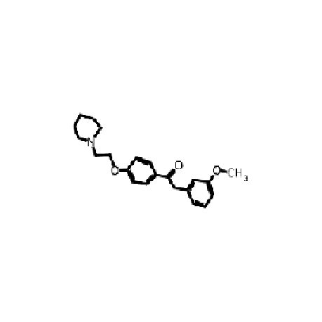 COc1cccc(CC(=O)c2ccc(OCCN3CCCCC3)cc2)c1